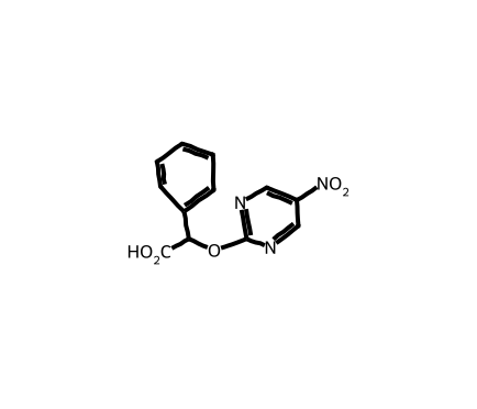 O=C(O)C(Oc1ncc([N+](=O)[O-])cn1)c1ccccc1